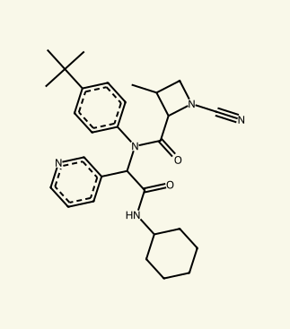 CC1CN(C#N)C1C(=O)N(c1ccc(C(C)(C)C)cc1)C(C(=O)NC1CCCCC1)c1cccnc1